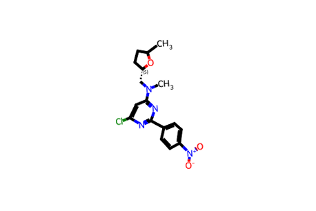 CC1CC[C@@H](CN(C)c2cc(Cl)nc(-c3ccc([N+](=O)[O-])cc3)n2)O1